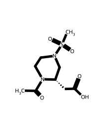 CC(=O)N1CCN(S(C)(=O)=O)C[C@@H]1CC(=O)O